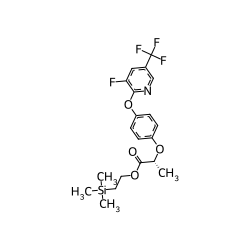 C[C@@H](Oc1ccc(Oc2ncc(C(F)(F)F)cc2F)cc1)C(=O)OCC[Si](C)(C)C